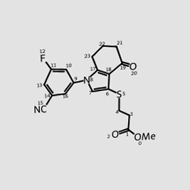 COC(=O)CCSc1cn(-c2cc(F)cc(C#N)c2)c2c1C(=O)CCC2